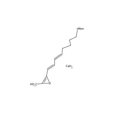 CCCCCCCCCCCCCC=CC=CC1=C(C(=O)O)O1.[CaH2]